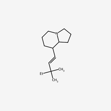 CCC(C)(C)/C=C/C1CCCN2CCCC12